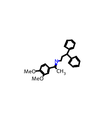 COc1ccc(C(C)=NCCC(c2ccccc2)c2ccccc2)cc1OC